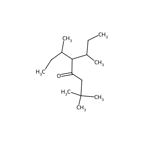 CCC(C)C(C(=O)CC(C)(C)C)C(C)CC